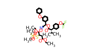 CC(C)[C@H](C(=O)OC(C#N)c1cccc(Oc2ccccc2)c1)c1ccc(OC(F)F)cc1.CCOC(=O)CC(SP(=S)(OC)OC)C(=O)OCC